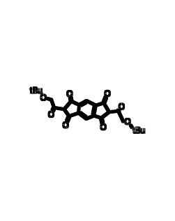 CC(C)(C)OCC(=O)C1C(=O)c2cc3c(cc2C1=O)C(=O)C(C(=O)COC(C)(C)C)C3=O